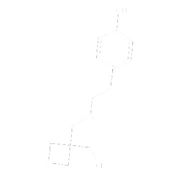 CCC1(COCOc2ccc(O)cc2)COC1